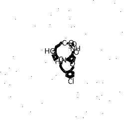 C[C@]12CC[C@H]1CN1CCCCc3cc(Cl)ccc3COc3ccc(cc31)C(=O)NS(=O)(=O)CCC/C=C/[C@@H]2O